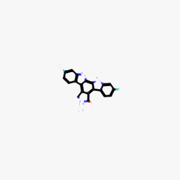 O=C1NCc2c1c1c3ccc(F)cc3[nH]c1c1[nH]c3cc(F)ccc3c21